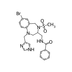 CS(=O)(=O)N1Cc2cc(Br)ccc2N(Cc2c[nH]cn2)CC1CNC(=O)c1ccccc1